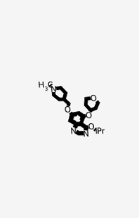 CC(C)Oc1ncnc2cc(OCC3CCN(C)CC3)cc(OC3CCOCC3)c12